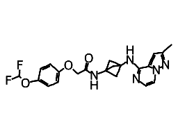 Cc1cc2c(NC34CC(NC(=O)COc5ccc(OC(F)F)cc5)(C3)C4)nccn2n1